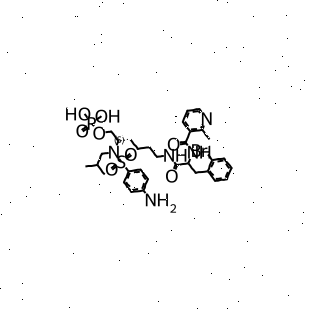 Cc1ncccc1C(=O)NC(Cc1ccccc1Br)C(=O)NCCCC[C@@H](COP(=O)(O)O)N(CC(C)C)S(=O)(=O)c1ccc(N)cc1